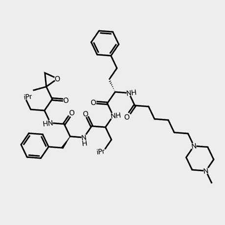 CC(C)CC(NC(=O)[C@H](CCc1ccccc1)NC(=O)CCCCCN1CCN(C)CC1)C(=O)N[C@@H](Cc1ccccc1)C(=O)NC(CC(C)C)C(=O)C1(C)CO1